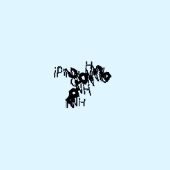 CC(C)N1CCN(c2cc3[nH]c(Nc4nccn4C4CCCC4)nc3cc2C(=O)Nc2ccc3cn[nH]c3c2)CC1